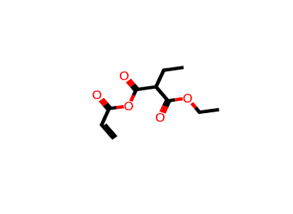 C=CC(=O)OC(=O)C(CC)C(=O)OCC